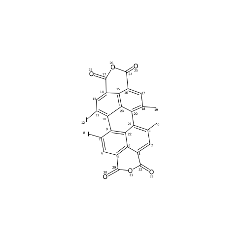 Cc1cc2c3c(cc(I)c4c5c(I)cc6c7c(cc(C)c(c1c34)c75)C(=O)OC6=O)C(=O)OC2=O